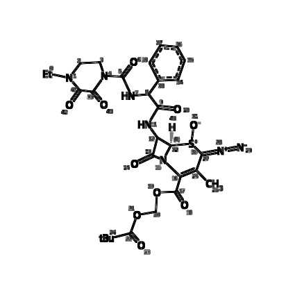 CCN1CCN(C(=O)NC(C(=O)NC2C(=O)N3C(C(=O)OCOC(=O)C(C)(C)C)=C(C)C(=[N+]=[N-])[S+]([O-])[C@H]23)c2ccccc2)C(=O)C1=O